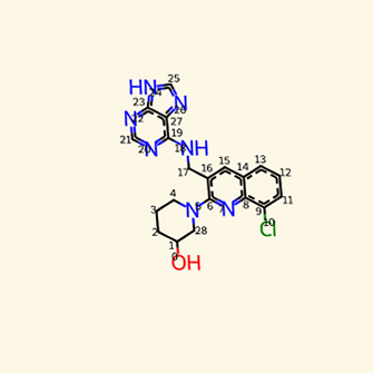 OC1CCCN(c2nc3c(Cl)cccc3cc2CNc2ncnc3[nH]cnc23)C1